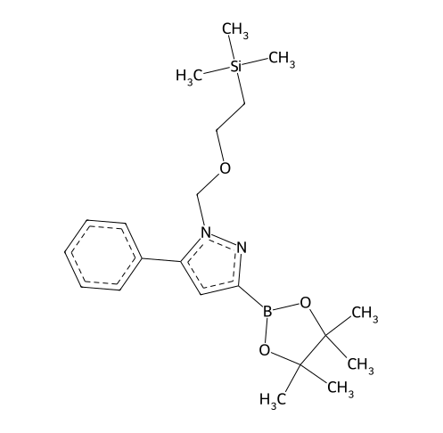 CC1(C)OB(c2cc(-c3ccccc3)n(COCC[Si](C)(C)C)n2)OC1(C)C